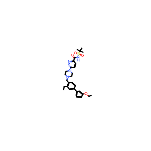 CCOc1cccc(-c2ccc(CN3CCN(c4ccc(C(=O)NS(=O)(=O)C(C)(C)C)nn4)CC3)c(CC)c2)c1